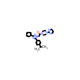 CC(C)c1ccc(-c2nc(-c3ccccc3)nn2CC(=O)N2CCN(c3ncccn3)CC2)cc1